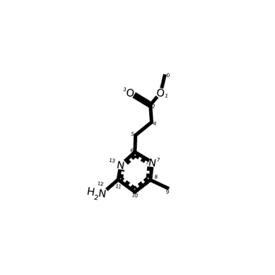 COC(=O)CCc1nc(C)cc(N)n1